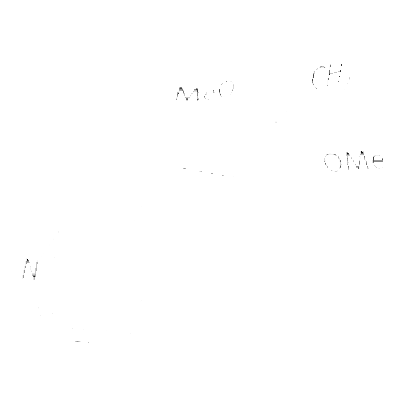 COC(C)(CCc1cccnc1)OC